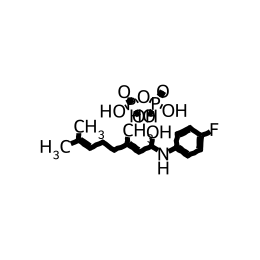 CC(C)=CCC/C(C)=C/C(O)Nc1ccc(F)cc1.O=P(O)(O)OP(=O)(O)O